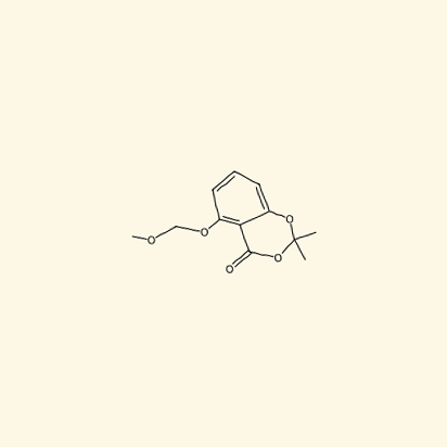 COCOc1cccc2c1C(=O)OC(C)(C)O2